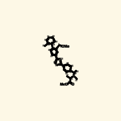 COCc1cc(-c2nc(-c3ccc(C(C)N(C)C(C)C(=O)OC)cc3)no2)ccc1-c1ccccc1C